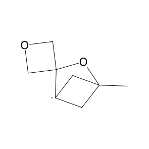 CC12C[C](C1)C1(COC1)O2